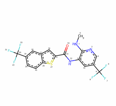 CNc1ncc(C(F)(F)F)cc1NC(=O)c1cc2cc(C(F)(F)F)ccc2s1